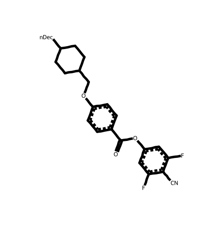 CCCCCCCCCCC1CCC(COc2ccc(C(=O)Oc3cc(F)c(C#N)c(F)c3)cc2)CC1